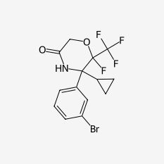 O=C1COC(F)(C(F)(F)F)C(c2cccc(Br)c2)(C2CC2)N1